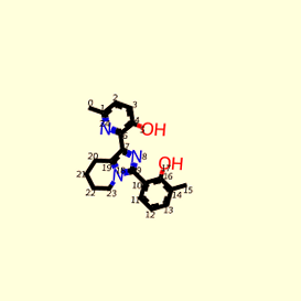 Cc1ccc(O)c(-c2nc(-c3cccc(C)c3O)n3c2CCCC3)n1